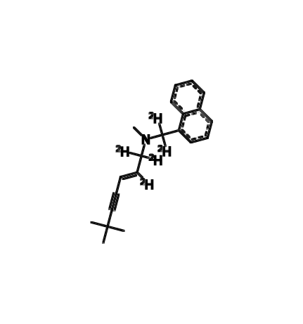 [2H]/C(=C\C#CC(C)(C)C)C([2H])([2H])N(C)C([2H])([2H])c1cccc2ccccc12